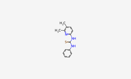 Cc1ccc(NC(=S)Nc2ccccc2)nc1C